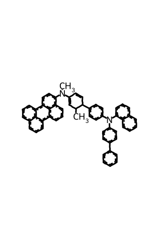 CC1C=C(N(C)c2ccc3c4cccc5cccc(c6cccc2c63)c54)C=CC1c1ccc(N(c2ccc(-c3ccccc3)cc2)c2cccc3ccccc23)cc1